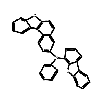 c1ccc(N(c2ccc3c(ccc4oc5ccccc5c43)c2)c2cccc3c2sc2ccccc23)cc1